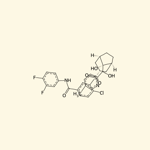 Cc1ccc(C(O)[C@@]2(O)[C@@H]3CC[C@H]2C[C@H](S(=O)(=O)c2cc(C(=O)Nc4ccc(F)c(F)c4)ccc2Cl)C3)nc1